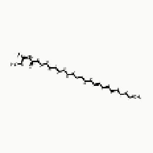 CCCCCCCCC=CCCCCCCCCCCCCCC(=O)NC(C)CO